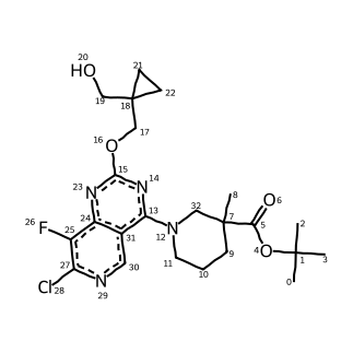 CC(C)(C)OC(=O)C1(C)CCCN(c2nc(OCC3(CO)CC3)nc3c(F)c(Cl)ncc23)C1